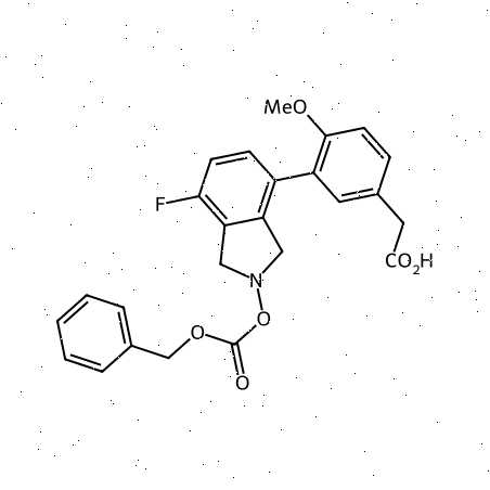 COc1ccc(CC(=O)O)cc1-c1ccc(F)c2c1CN(OC(=O)OCc1ccccc1)C2